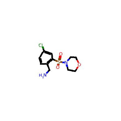 NCc1ccc(Cl)cc1S(=O)(=O)N1CCOCC1